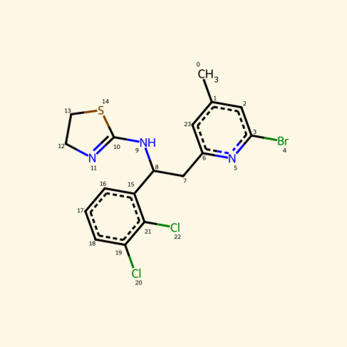 Cc1cc(Br)nc(CC(NC2=NCCS2)c2cccc(Cl)c2Cl)c1